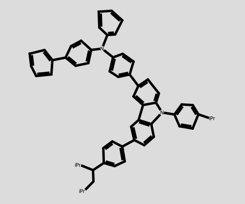 CC(C)CC(c1ccc(-c2ccc3c(c2)c2cc(-c4ccc(N(c5ccccc5)c5ccc(-c6ccccc6)cc5)cc4)ccc2n3-c2ccc(C(C)C)cc2)cc1)C(C)C